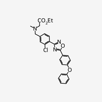 CCOC(=O)CN(C)Cc1ccc(-c2noc(-c3ccc(Oc4ccccc4)cc3)n2)c(Cl)c1